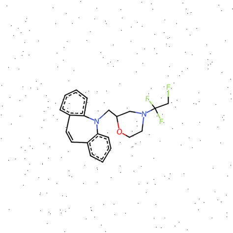 FCC(F)(F)N1CCOC(CN2c3ccccc3C=Cc3ccccc32)C1